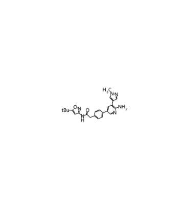 Cn1cc(-c2cc(-c3ccc(CC(=O)Nc4cc(C(C)(C)C)on4)cc3)cnc2N)cn1